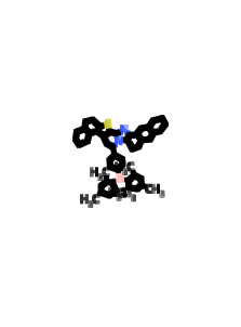 Cc1cc(C)c(B(c2ccc(-c3cc4c(sc5ccc6ccccc6c54)c4nc5c6cc7ccccc7cc6ccc5n34)cc2)c2c(C)cc(C)cc2C)c(C)c1